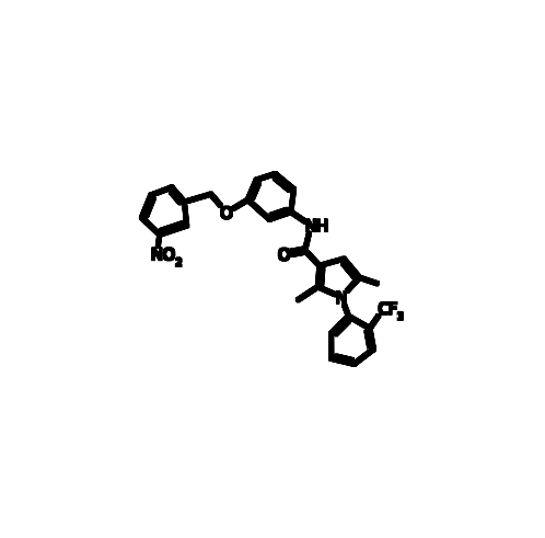 Cc1cc(C(=O)Nc2cccc(OCc3cccc([N+](=O)[O-])c3)c2)c(C)n1-c1ccccc1C(F)(F)F